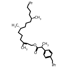 C/C(=C\COC(=O)[C@@H](C)c1ccc(CC(C)C)cc1)CCC[C@H](C)CCC[C@H](C)CCCC(C)C